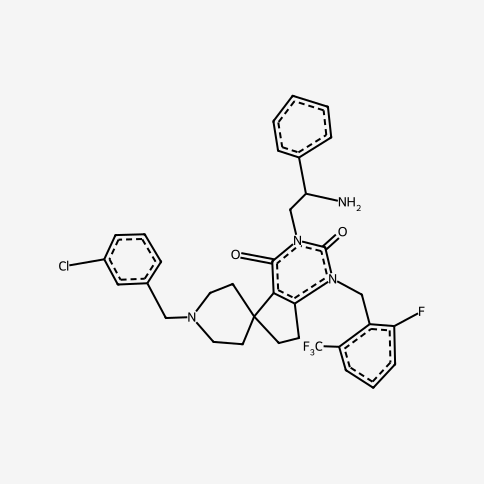 NC(Cn1c(=O)c2c(n(Cc3c(F)cccc3C(F)(F)F)c1=O)CCC21CCN(Cc2cccc(Cl)c2)CC1)c1ccccc1